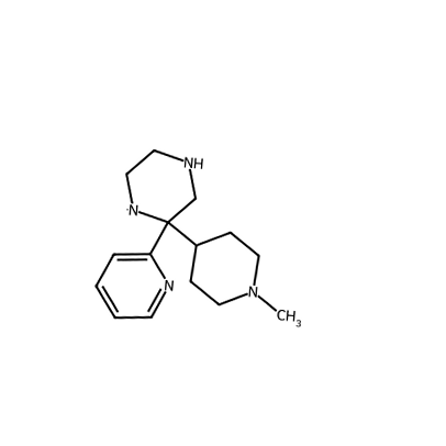 CN1CCC(C2(c3ccccn3)CNCC[N]2)CC1